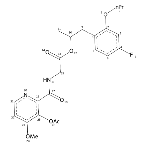 CCCOc1cc(F)ccc1CC(C)OC(=O)CNC(=O)c1nccc(OC)c1OC(C)=O